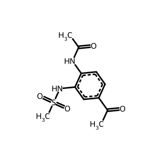 CC(=O)Nc1ccc(C(C)=O)cc1NS(C)(=O)=O